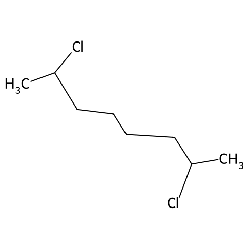 CC(Cl)CCCCC(C)Cl